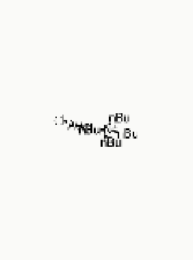 CCCC[N+](CCCC)(CCCC)CCCC.[Cl][Au][Cl]